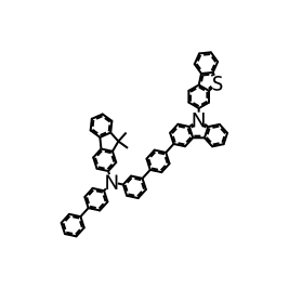 CC1(C)c2ccccc2-c2ccc(N(c3ccc(-c4ccccc4)cc3)c3cccc(-c4ccc(-c5ccc6c(c5)c5ccccc5n6-c5ccc6c(c5)sc5ccccc56)cc4)c3)cc21